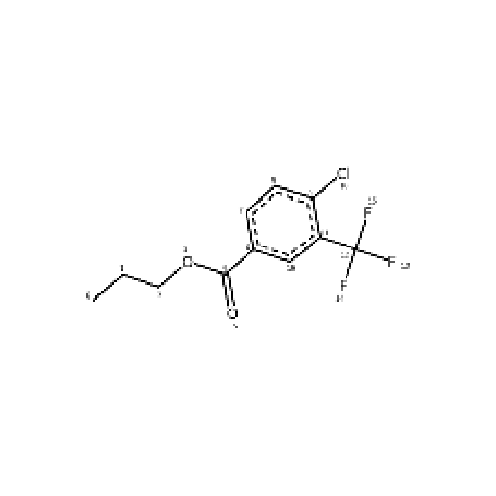 CCCOC(=O)c1ccc(Cl)c(C(F)(F)F)c1